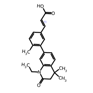 CCN1C(=O)CC(C)(C)c2ccc(-c3cc(/C=C/C(=O)O)ccc3C)cc21